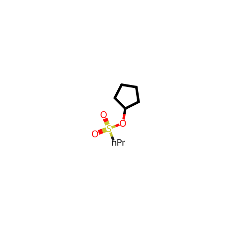 CCCS(=O)(=O)OC1CCCC1